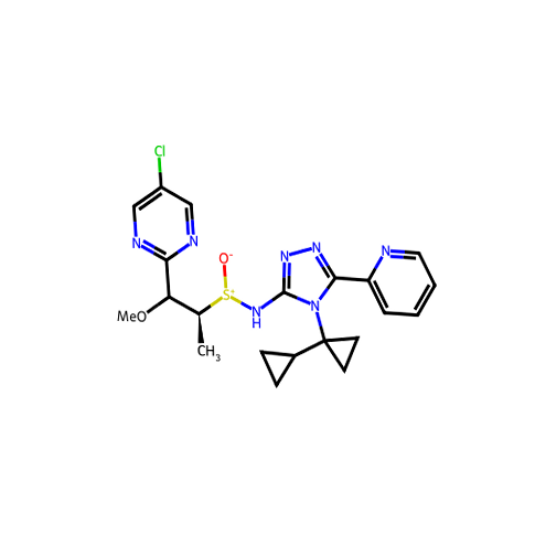 COC(c1ncc(Cl)cn1)[C@H](C)[S+]([O-])Nc1nnc(-c2ccccn2)n1C1(C2CC2)CC1